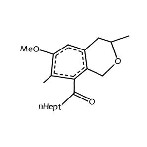 CCCCCCCC(=O)c1c(C)c(OC)cc2c1COC(C)C2